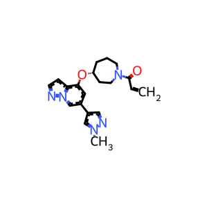 C=CC(=O)N1CCC[C@@H](Oc2cc(-c3cnn(C)c3)cn3nccc23)CC1